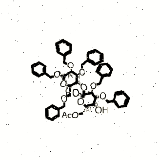 CC(=O)OC[C@@H]1O[C@@](O)(O[C@H]2[C@H](OCc3ccccc3)[C@@H](OCc3ccccc3)[C@H](OCc3ccccc3)O[C@@H]2COCc2ccccc2)[C@@H](OCc2ccccc2)[C@H](OCc2ccccc2)[C@@H]1O